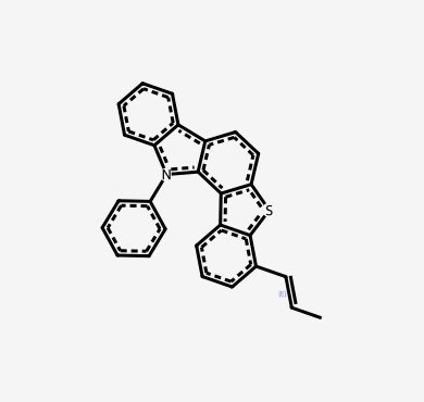 C/C=C/c1cccc2c1sc1ccc3c4ccccc4n(-c4ccccc4)c3c12